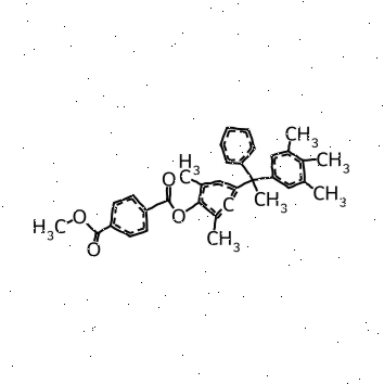 COC(=O)c1ccc(C(=O)Oc2c(C)cc(C(C)(c3ccccc3)c3cc(C)c(C)c(C)c3)cc2C)cc1